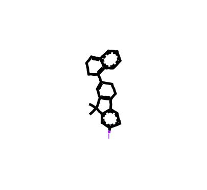 CC1(C)C2=C(CCC(C3=c4ccccc4=CCC3)=C2)c2ccc(I)cc21